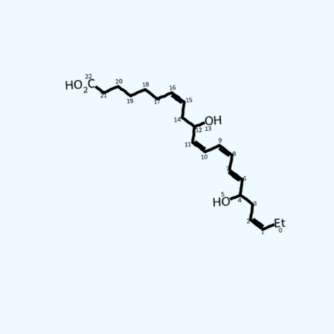 CC/C=C\CC(O)/C=C/C=C\C=C/C(O)C/C=C\CCCCCC(=O)O